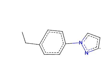 CCc1ccc(-n2cc[c]n2)cc1